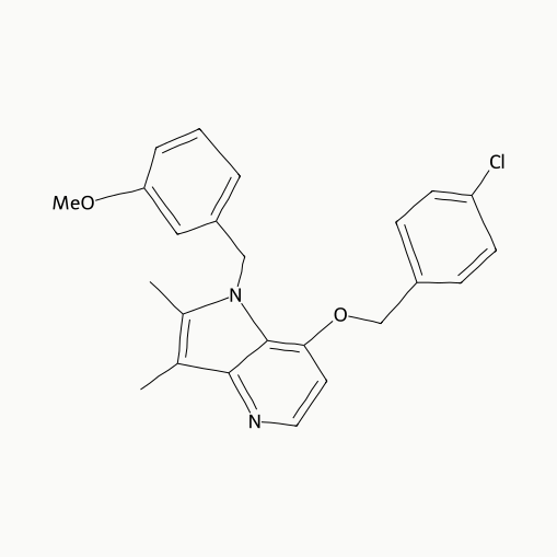 COc1cccc(Cn2c(C)c(C)c3nccc(OCc4ccc(Cl)cc4)c32)c1